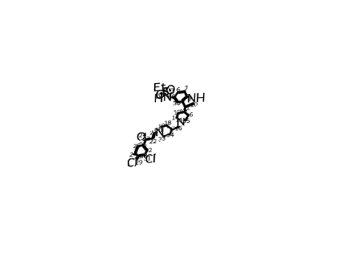 CCS(=O)(=O)Nc1ccc2[nH]cc(C3CCN(CC4CCN(/C=C/C(=O)c5ccc(Cl)c(Cl)c5)CC4)CC3)c2c1